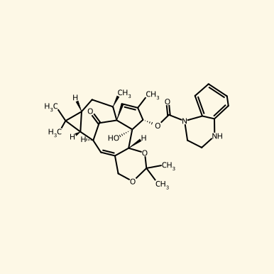 CC1=C[C@]23C(=O)[C@@H](C=C4COC(C)(C)O[C@H]4[C@]2(O)[C@H]1OC(=O)N1CCNc2ccccc21)[C@H]1[C@@H](C[C@H]3C)C1(C)C